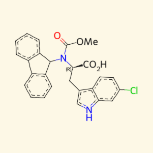 COC(=O)N(C1c2ccccc2-c2ccccc21)[C@H](Cc1c[nH]c2cc(Cl)ccc12)C(=O)O